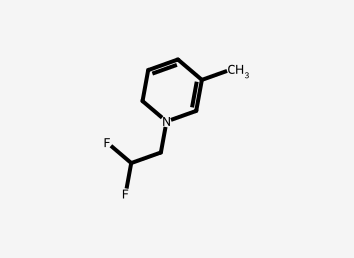 CC1=CN(CC(F)F)CC=C1